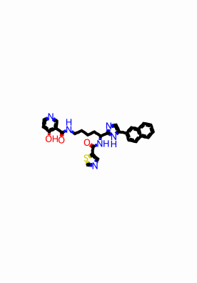 O=C(NC(CCCCNC(=O)c1cnccc1O)c1ncc(-c2ccc3ccccc3c2)[nH]1)c1cncs1